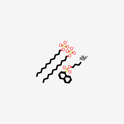 CCCCCCCCCCCCOS(=O)(=O)[O-].CCCCCCCCCCCCOS(=O)(=O)[O-].CCCCOS(=O)(=O)c1cccc2ccccc12.[Na+].[Na+]